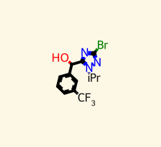 CC(C)n1nc(Br)nc1C(O)c1cccc(C(F)(F)F)c1